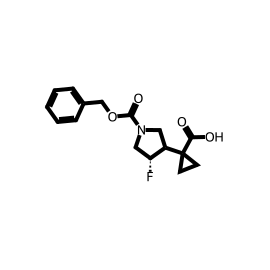 O=C(OCc1ccccc1)N1CC(C2(C(=O)O)CC2)[C@H](F)C1